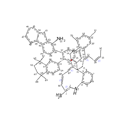 BC1=C\Nc2ccccc2C(C/C=C\C=C/C)(C2=CCCC=C2)/C(c2cc(-c3c(C)cc(C)cc3C)cc(-c3ccc4c(sc5ccccc54)c3N)c2-c2ccc3c(c2)C(C)(C)CCC3(C)C)=C/C=C\1